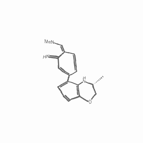 CN/C=C1/C=CC(c2cccc3c2N[C@H](C)CO3)=CC1=N